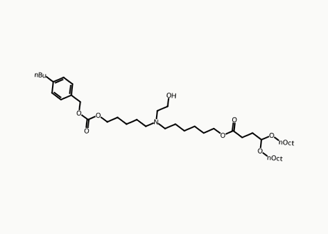 CCCCCCCCOC(CCC(=O)OCCCCCCN(CCO)CCCCCOC(=O)OCc1ccc(CCCC)cc1)OCCCCCCCC